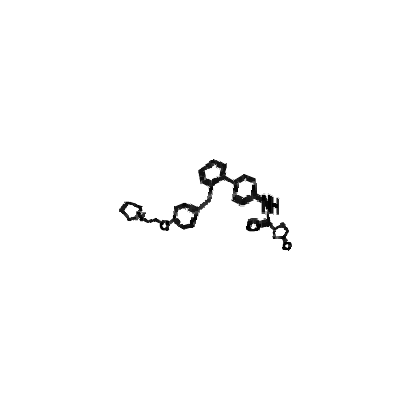 O=C1CCC(C(=O)Nc2ccc(-c3ccccc3Cc3ccc(OCCN4CCCC4)cc3)cc2)C1